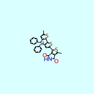 Cc1cc2c(s1)-c1sc(-c3sc(C)c4c3C(=O)NC4=O)cc1[Si]2(c1ccccc1)c1ccccc1